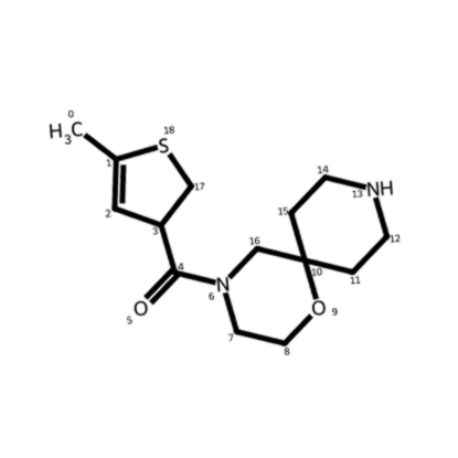 CC1=CC(C(=O)N2CCOC3(CCNCC3)C2)CS1